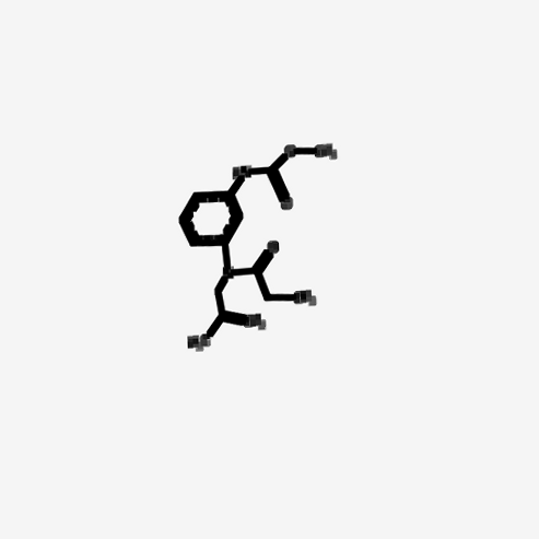 C=C(C)CN(C(=O)CC)c1cccc(NC(=O)OC)c1